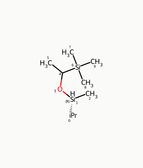 CC(C)[Si@@H](C)OC(C)[Si](C)(C)C